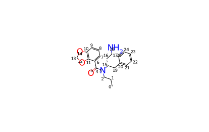 CCCN(C(=O)c1cccc2c1OCO2)[C@H](CCN)Cc1ccccc1